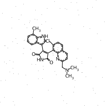 Cc1cccc2c(C3=C(c4c(Cl)ccc5ccc(CN(C)C)nc45)C(=O)NC3=O)c[nH]c12